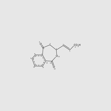 O=C(O)C=CC1CC(=O)c2ccccc2C(=O)O1